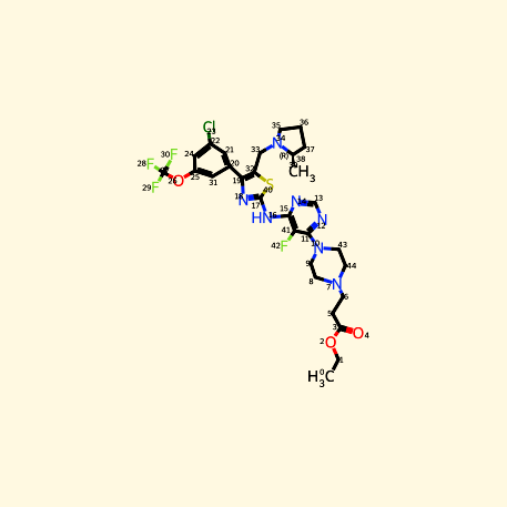 CCOC(=O)CCN1CCN(c2ncnc(Nc3nc(-c4cc(Cl)cc(OC(F)(F)F)c4)c(CN4CCC[C@H]4C)s3)c2F)CC1